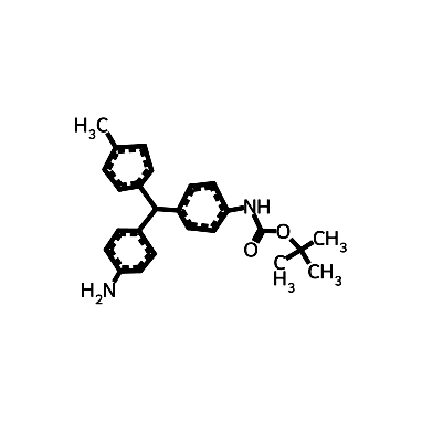 Cc1ccc(C(c2ccc(N)cc2)c2ccc(NC(=O)OC(C)(C)C)cc2)cc1